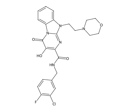 O=C(NCc1ccc(F)c(Cl)c1)c1nc2n(CCN3CCOCC3)c3ccccc3n2c(=O)c1O